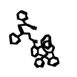 N=C(/C=C(\C=C\Nc1cccc(C2(c3ccccc3)c3ccccc3C3CCC=CC32)c1-c1ccccc1)c1ccccc1)c1ccccc1